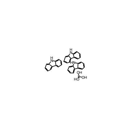 OB(O)O.c1ccc2c(c1)[nH]c1ccccc12.c1ccc2c(c1)[nH]c1ccccc12.c1ccc2c(c1)[nH]c1ccccc12